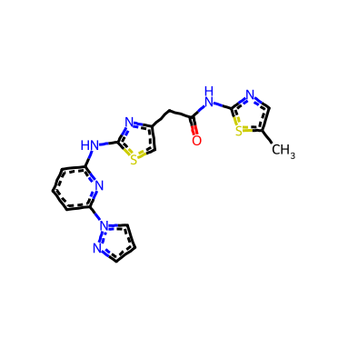 Cc1cnc(NC(=O)Cc2csc(Nc3cccc(-n4cccn4)n3)n2)s1